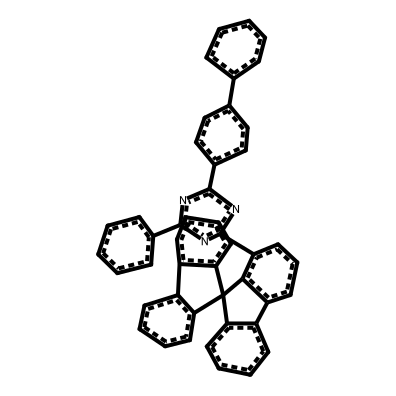 c1ccc(-c2ccc(-c3nc(-c4ccccc4)nc(-c4cccc5c4C4(c6ccccc6-c6ccccc64)c4ccccc4-5)n3)cc2)cc1